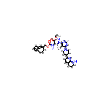 CCc1c(NC[C@H](NC(=O)OCC23CCCC4CC(CC4C2)C3)C(=O)OC(C)(C)C)ncnc1N1CCC(c2ccc3c(n2)NCCC3)CC1